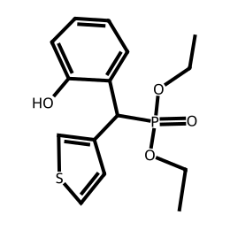 CCOP(=O)(OCC)C(c1ccsc1)c1ccccc1O